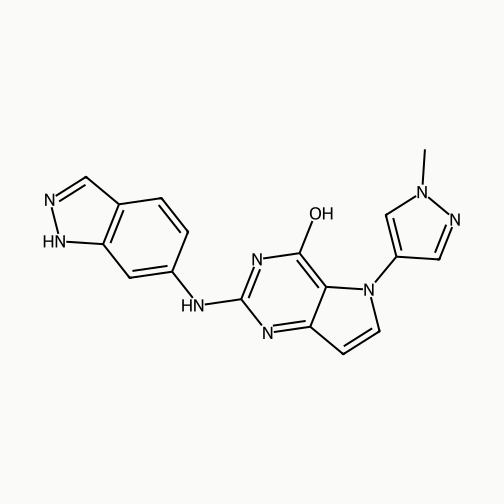 Cn1cc(-n2ccc3nc(Nc4ccc5cn[nH]c5c4)nc(O)c32)cn1